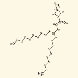 CCCCCCCCCCC(CCCCCCCCC=O)COC(=O)C1CN(C)C1